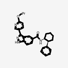 CC(C)Oc1ccc(-c2n[nH]c3ccc(C(=O)N[C@@H]4CCCC[C@H]4c4ccccc4)cc23)cn1